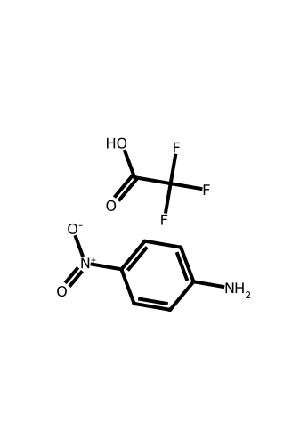 Nc1ccc([N+](=O)[O-])cc1.O=C(O)C(F)(F)F